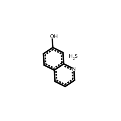 Oc1ccc2cccnc2c1.S